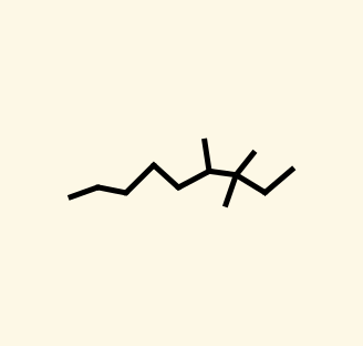 C[CH]C(C)(C)C(C)CCCCC